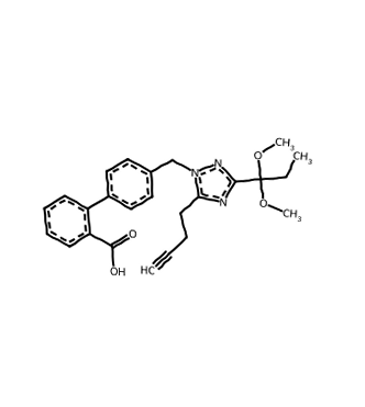 C#CCCc1nc(C(CC)(OC)OC)nn1Cc1ccc(-c2ccccc2C(=O)O)cc1